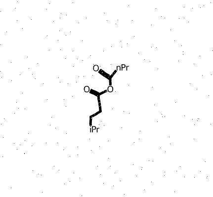 CCCC(=O)OC(=O)CCC(C)C